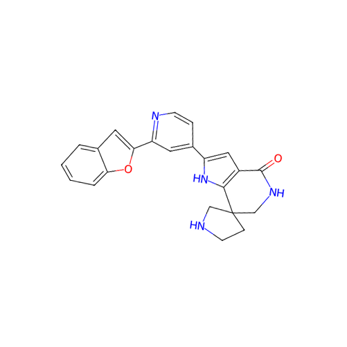 O=C1NCC2(CCNC2)c2[nH]c(-c3ccnc(-c4cc5ccccc5o4)c3)cc21